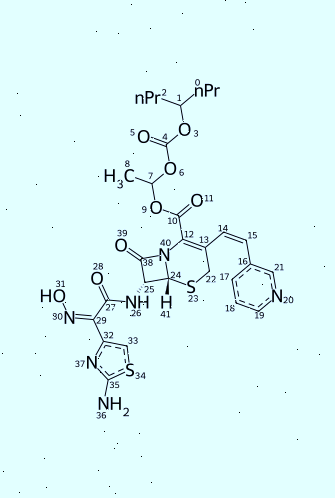 CCCC(CCC)OC(=O)OC(C)OC(=O)C1=C(/C=C\c2cccnc2)CS[C@@H]2[C@H](NC(=O)/C(=N\O)c3csc(N)n3)C(=O)N12